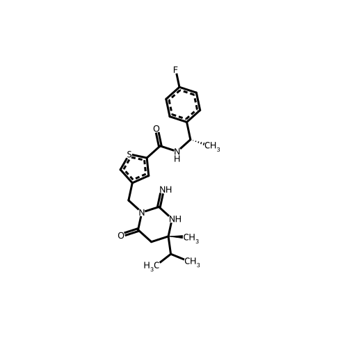 CC(C)[C@]1(C)CC(=O)N(Cc2csc(C(=O)N[C@@H](C)c3ccc(F)cc3)c2)C(=N)N1